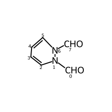 O=CN1C=CC=CN1C=O